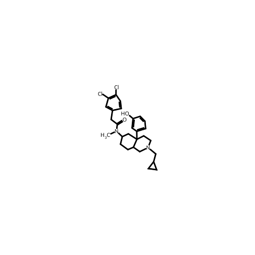 CN(C(=O)Cc1ccc(Cl)c(Cl)c1)C1CCC2CN(CC3CC3)CCC2(c2cccc(O)c2)C1